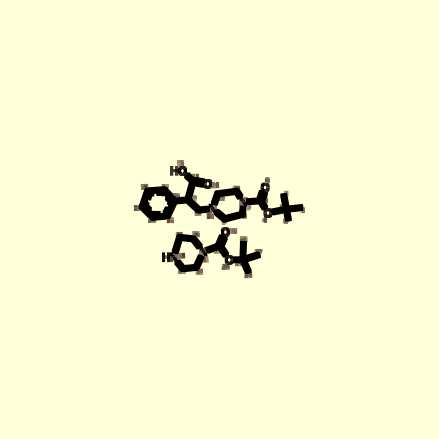 CC(C)(C)OC(=O)N1CCN(CC(C(=O)O)c2ccccc2)CC1.CC(C)(C)OC(=O)N1CCNCC1